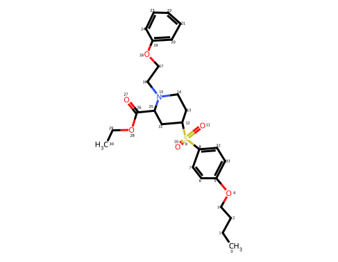 CCCCOc1ccc(S(=O)(=O)C2CCN(CCOc3ccccc3)C(C(=O)OCC)C2)cc1